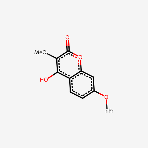 CCCOc1ccc2c(O)c(OC)c(=O)oc2c1